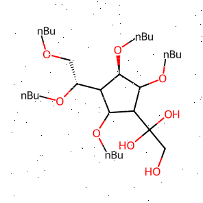 CCCCOC[C@@H](OCCCC)C1C(OCCCC)C(C(O)(O)CO)C(OCCCC)[C@@H]1OCCCC